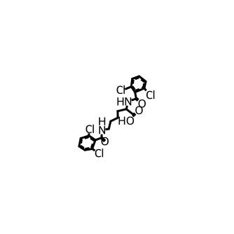 O=C(NCCCCC(NC(=O)c1c(Cl)cccc1Cl)C(=O)O)c1c(Cl)cccc1Cl